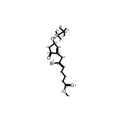 COC(=O)CCCC=C(Br)CC1=CC(O[Si](C)(C)C(C)(C)C)CC1=O